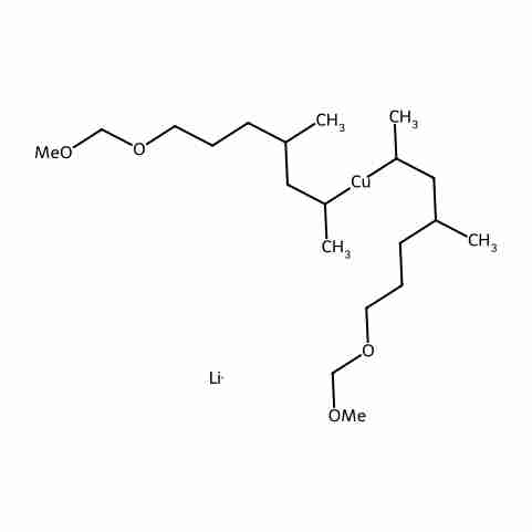 COCOCCCC(C)C[CH](C)[Cu][CH](C)CC(C)CCCOCOC.[Li]